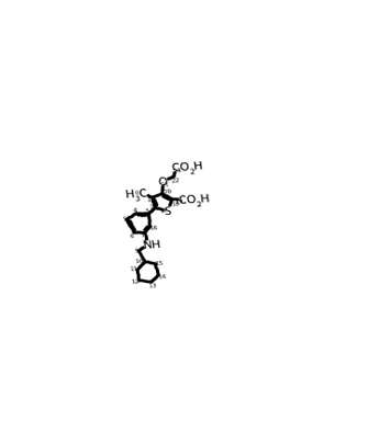 Cc1c(-c2cccc(NCC3CCCCC3)c2)sc(C(=O)O)c1OCC(=O)O